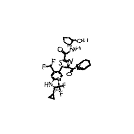 O=C(N[C@@H]1CCC[C@H]1O)c1nc(C(=O)N2C3CCC2CC3)c(-c2cnc(N[C@@H](C3CC3)C(F)(F)F)cc2C(F)F)s1